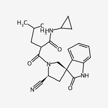 CC(C)CC(C(=O)NC1CC1)C(=O)N1C[C@]2(C[C@H]1C#N)C(=O)Nc1ccccc12